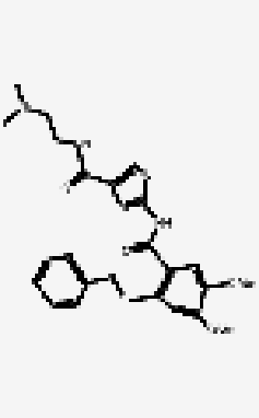 COc1cc(OCc2ccccc2)c(C(=O)Nc2nc(C(=O)NCCN(C)C)cs2)cc1OC